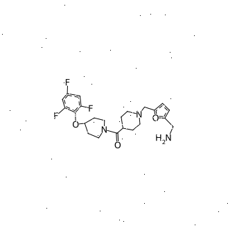 NCc1ccc(CN2CCC(C(=O)N3CCC(Oc4c(F)cc(F)cc4F)CC3)CC2)o1